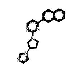 c1ccc2cc(-c3ccnc(N4CC[C@@H](n5ccnc5)C4)n3)ccc2c1